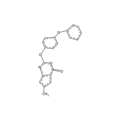 Cc1cc2c(=O)oc(Oc3ccc(Oc4ccccc4)cc3)nc2s1